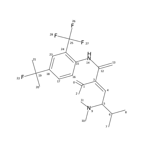 C=C(C)/C(=C\C(C(C)C)N(C)C)C(=C)Nc1ccc(C(C)(C)F)cc1C(F)(F)F